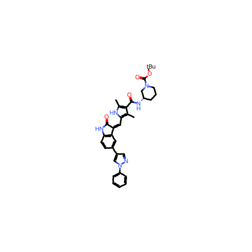 Cc1[nH]c(/C=C2\C(=O)Nc3ccc(-c4cnn(-c5ccccc5)c4)cc32)c(C)c1C(=O)N[C@H]1CCCN(C(=O)OC(C)(C)C)C1